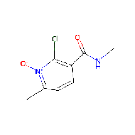 CNC(=O)c1ccc(C)[n+]([O-])c1Cl